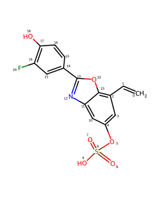 C=Cc1cc(OS(=O)(=O)O)cc2nc(-c3ccc(O)c(F)c3)oc12